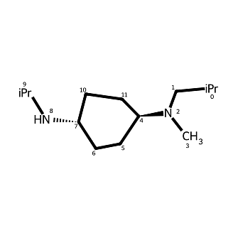 CC(C)CN(C)[C@H]1CC[C@H](NC(C)C)CC1